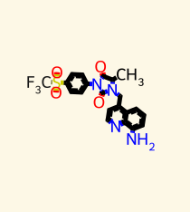 CC1C(=O)N(c2ccc(S(=O)(=O)C(F)(F)F)cc2)C(=O)N1Cc1ccnc2c(N)cccc12